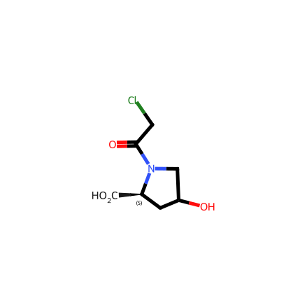 O=C(O)[C@@H]1CC(O)CN1C(=O)CCl